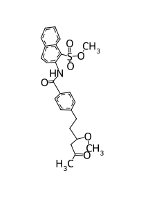 COC(CCc1ccc(C(=O)Nc2ccc3ccccc3c2S(=O)(=O)OC)cc1)CC(C)=O